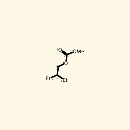 CCC(CC)COC(=O)OC